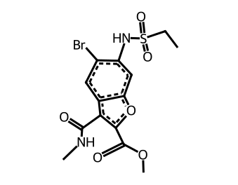 CCS(=O)(=O)Nc1cc2oc(C(=O)OC)c(C(=O)NC)c2cc1Br